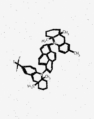 Cc1ccc2c(c1)CC1(C)CCCCC1(C)N2c1ccc2ccc3c(N4c5ccc(C(F)(F)F)cc5CC5(C)CCCCC45C)ccc4ccc1c2c43